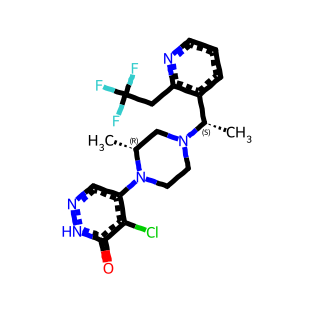 C[C@@H]1CN([C@@H](C)c2cccnc2CC(F)(F)F)CCN1c1cn[nH]c(=O)c1Cl